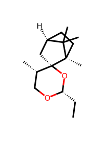 CC[C@@H]1OC[C@H](C)[C@]2(C[C@H]3CC[C@]2(C)C3(C)C)O1